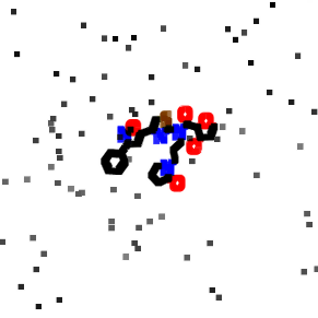 O=C1C=COC1C(=O)N(CCCN1CCCC1=O)c1nc(-c2cc(-c3ccccc3)no2)cs1